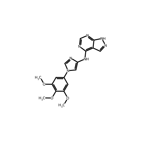 COc1cc(-n2cnc(Nc3ncnc4[nH]ncc34)c2)cc(OC)c1OC